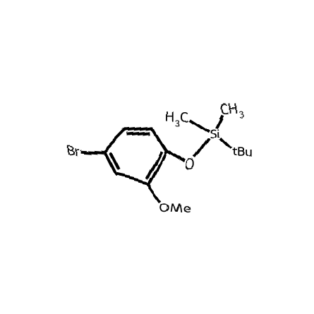 COc1cc(Br)ccc1O[Si](C)(C)C(C)(C)C